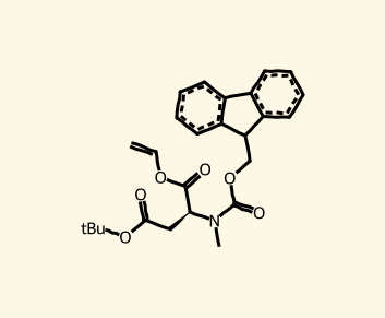 C=COC(=O)[C@H](CC(=O)OC(C)(C)C)N(C)C(=O)OCC1c2ccccc2-c2ccccc21